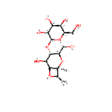 CC1OC2C(O)[C@H](O[C@@H]3OC(CO)[C@H](O)C(O)C3O)C(CO)O[C@@H]12